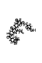 C=CCNc1nc2c(c(=O)n1-c1ccc(C(=O)N(C)C(=O)OCCC(=O)/C=C\C(=O)O)cc1)C[C@@H](C)N(C(=O)c1ccc(Br)c(C(F)(F)F)c1)C2